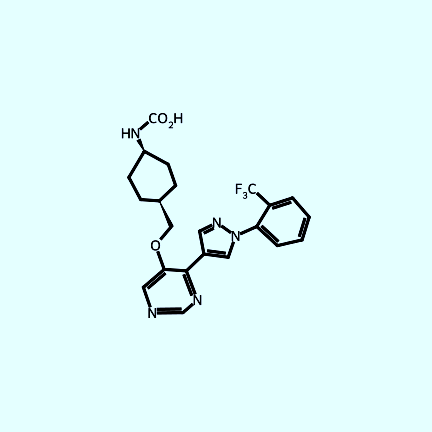 O=C(O)N[C@H]1CC[C@@H](COc2cncnc2-c2cnn(-c3ccccc3C(F)(F)F)c2)CC1